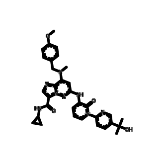 COc1ccc(CN(C)c2cc(Nc3cccn(-c4ccc(C(C)(C)O)cn4)c3=O)nn3c(C(=O)NC4CC4)cnc23)cc1